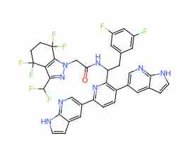 O=C(Cn1nc(C(F)F)c2c1C(F)(F)CCC2(F)F)NC(Cc1cc(F)cc(F)c1)c1nc(-c2cnc3[nH]ccc3c2)ccc1-c1cnc2[nH]ccc2c1